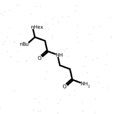 CCCCCCC(CCCC)CC(=O)NCCC(N)=O